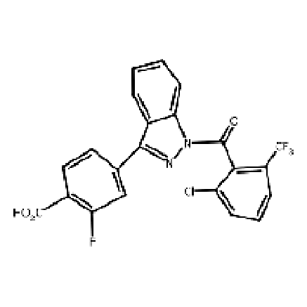 O=C(O)c1ccc(-c2nn(C(=O)c3c(Cl)cccc3C(F)(F)F)c3ccccc23)cc1F